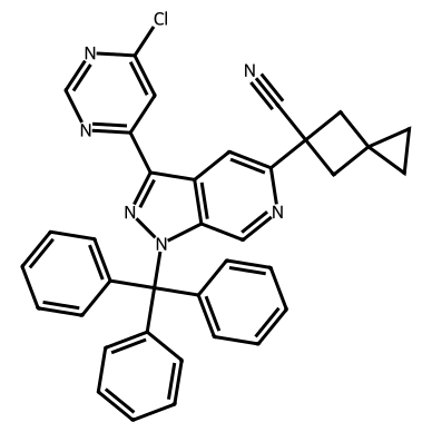 N#CC1(c2cc3c(-c4cc(Cl)ncn4)nn(C(c4ccccc4)(c4ccccc4)c4ccccc4)c3cn2)CC2(CC2)C1